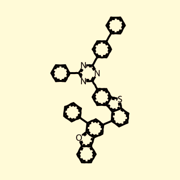 c1ccc(-c2ccc(-c3nc(-c4ccccc4)nc(-c4ccc5c(c4)sc4cccc(-c6cc(-c7ccccc7)c7oc8ccccc8c7c6)c45)n3)cc2)cc1